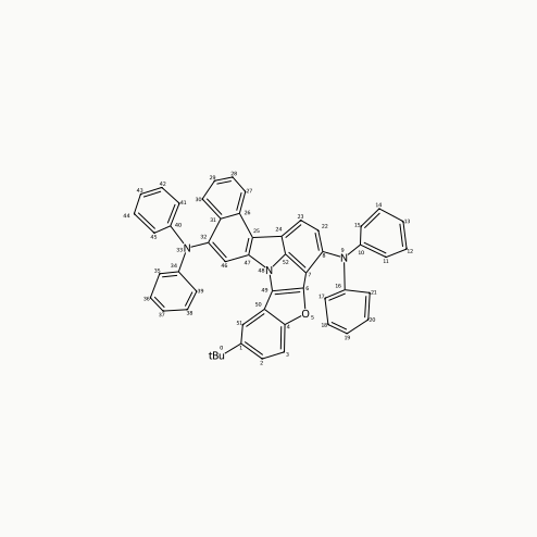 CC(C)(C)c1ccc2oc3c4c(N(c5ccccc5)c5ccccc5)ccc5c6c7ccccc7c(N(c7ccccc7)c7ccccc7)cc6n(c3c2c1)c54